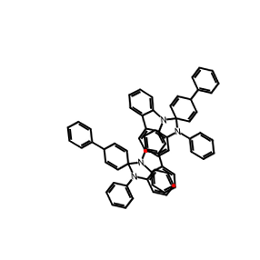 C1=CC(N(c2ccccc2)c2ccccc2)(n2c3ccccc3c3cc4c(cc32)c2ccccc2n4C2(N(c3ccccc3)c3ccccc3)C=CC(c3ccccc3)C=C2)C=CC1c1ccccc1